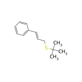 CC(C)(C)SCC=Cc1ccccc1